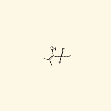 CC(C)=C(O)C(F)(F)F